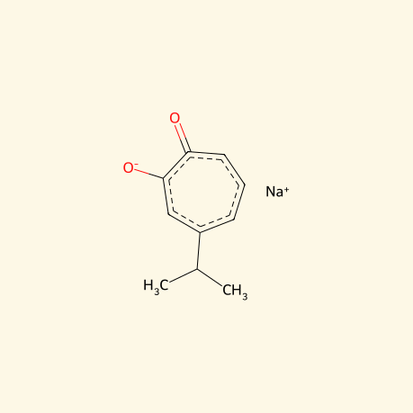 CC(C)c1cccc(=O)c([O-])c1.[Na+]